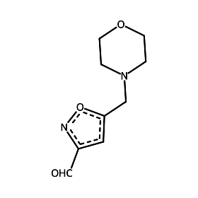 O=Cc1cc(CN2CCOCC2)on1